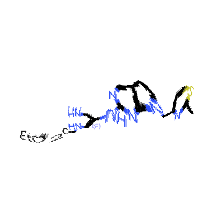 CCOC(=O)CN/C=C(\C=N)Nc1ncc2ccn(Cc3csc(C)n3)c2n1